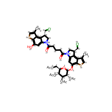 CC(=O)OC[C@H]1O[C@@H](Oc2cc3c(c4c(C)csc24)[C@H](CCl)CN3C(=O)CCCC(=O)N2C[C@@H](CCl)c3c2cc(O)c2scc(C)c32)[C@H](OC(C)=O)[C@@H](OC(C)=O)[C@@H]1OC(C)=O